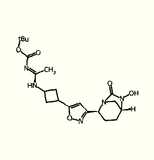 C/C(=N\C(=O)OC(C)(C)C)NC1CC(c2cc([C@@H]3CC[C@@H]4CN3C(=O)N4O)no2)C1